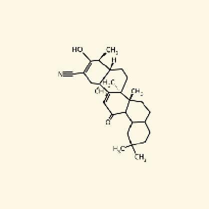 C[C@@H]1C(O)=C(C#N)C[C@]2(C)C3=CC(=O)C4C5CC(C)(C)CCC5CC[C@@]4(C)[C@]3(C)CC[C@@H]12